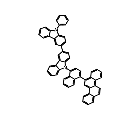 c1ccc(-n2c3ccccc3c3cc(-c4ccc5c(c4)c4ccccc4n5-c4ccc(-c5cc6c7ccccc7ccc6c6ccccc56)c5ccccc45)ccc32)cc1